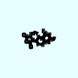 CCC[C@H]1C(=O)OC(=O)N1[C@H]1CCc2cc(F)cc(F)c2C1